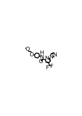 COCCOC1CCC(NC(=O)c2cc(C(F)F)cc(-n3ccnc3)n2)CC1